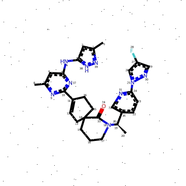 Cc1cc(Nc2cc(C)nc(C3=CCC4(CCCN([C@H](C)c5ccc(-n6cc(F)cn6)nc5)C4=O)CC3)n2)[nH]n1